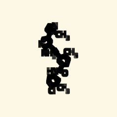 Cc1ccc(C(=O)Nc2ccc(Cl)c(C(F)(F)F)c2)cc1C#Cc1cc(-c2ccnn2C)cnc1N